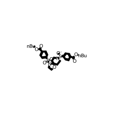 CCCCOC(=O)c1ccc([S+]([O-])N2CCC3(CC2)OCCN3S(=O)(=O)c2ccc(C(=O)OCCCC)cc2)cc1